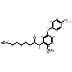 CCCCCCCCCCCCCCCC(=O)Nc1cc(Oc2ccc([N+](=O)[O-])cc2)ccc1OC